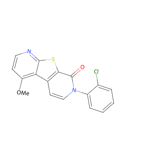 COc1ccnc2sc3c(=O)n(-c4ccccc4Cl)ccc3c12